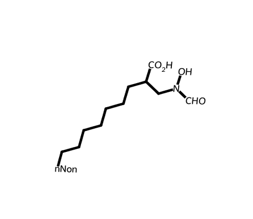 CCCCCCCCCCCCCCCCC(CN(O)C=O)C(=O)O